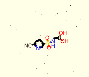 N#Cc1ccc(S(=O)(=O)NCB(O)O)cn1